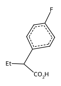 CCC(C(=O)O)c1ccc(F)cc1